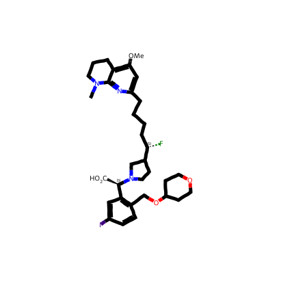 COc1cc(CCCC[C@H](F)C2CCN([C@H](C(=O)O)c3cc(I)ccc3COC3CCOCC3)C2)nc2c1CCCN2C